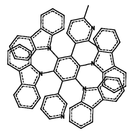 Cc1ccc(-c2c(-n3c4ccccc4c4ccccc43)c(-n3c4ccccc4c4ccccc43)c(-c3cccnc3)c(-n3c4ccccc4c4ccccc43)c2-n2c3ccccc3c3ccccc32)c(C)n1